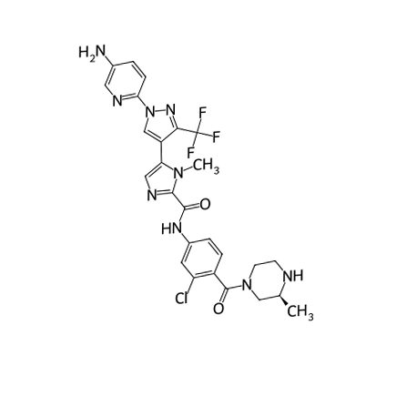 C[C@H]1CN(C(=O)c2ccc(NC(=O)c3ncc(-c4cn(-c5ccc(N)cn5)nc4C(F)(F)F)n3C)cc2Cl)CCN1